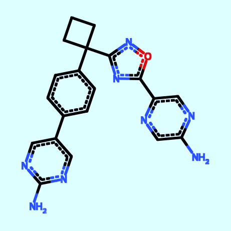 Nc1cnc(-c2nc(C3(c4ccc(-c5cnc(N)nc5)cc4)CCC3)no2)cn1